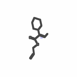 C=CCOC(=O)/C(=C/C)C1CCCCC1